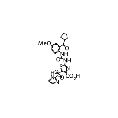 COc1ccc(NC(=O)Nc2nc(C(=O)O)c(S(=O)(=O)c3ncc[nH]3)s2)c(C(=O)C2CCCC2)c1